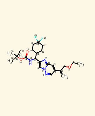 C=C(COCC)c1cnn2cc(C(NC(=O)OC(C)(C)C)C3CCC(F)(F)CC3)nc2c1